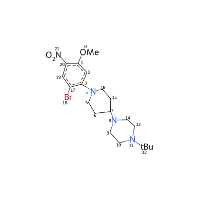 COc1cc(N2CCC(N3CCN(C(C)(C)C)CC3)CC2)c(Br)cc1[N+](=O)[O-]